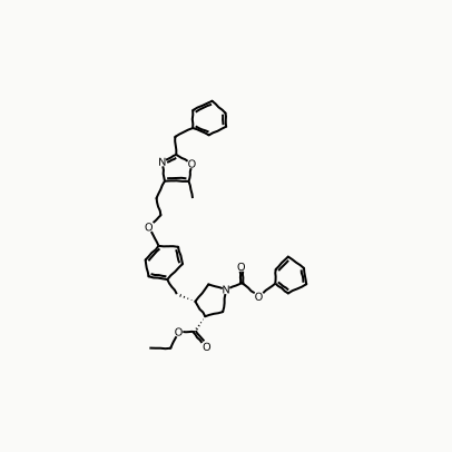 CCOC(=O)[C@H]1CN(C(=O)Oc2ccccc2)C[C@H]1Cc1ccc(OCCc2nc(Cc3ccccc3)oc2C)cc1